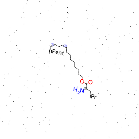 CCCCC/C=C\C/C=C\CCCCCCCCOC(=O)[C@@H](N)CC(C)C